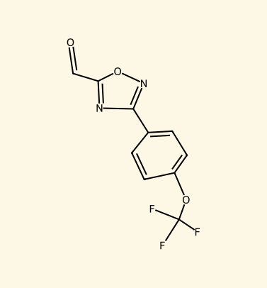 O=Cc1nc(-c2ccc(OC(F)(F)F)cc2)no1